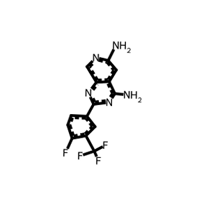 Nc1cc2c(N)nc(-c3ccc(F)c(C(F)(F)F)c3)nc2cn1